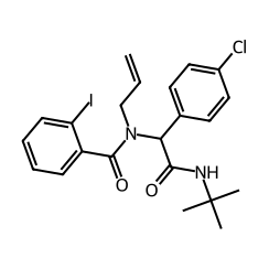 C=CCN(C(=O)c1ccccc1I)C(C(=O)NC(C)(C)C)c1ccc(Cl)cc1